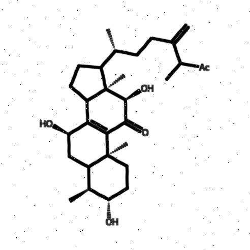 C=C(CC[C@@H](C)C1CCC2C3=C(C(=O)[C@H](O)[C@@]21C)[C@@]1(C)CC[C@H](O)[C@@H](C)C1C[C@H]3O)C(C)C(C)=O